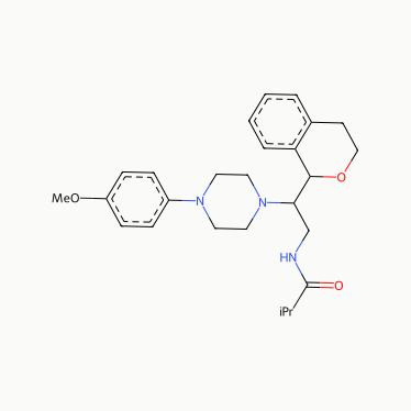 COc1ccc(N2CCN(C(CNC(=O)C(C)C)C3OCCc4ccccc43)CC2)cc1